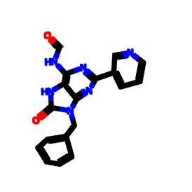 O=[C]Nc1nc(-c2cccnc2)nc2c1[nH]c(=O)n2Cc1ccccc1